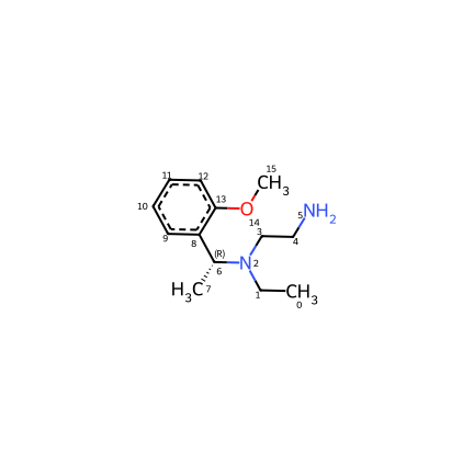 CCN(CCN)[C@H](C)c1ccccc1OC